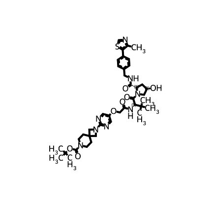 Cc1ncsc1-c1ccc(CNC(=O)[C@@H]2C[C@@H](O)CN2C(=O)[C@@H](NC(=O)COc2cnc(N3CC4(CCN(C(=O)OC(C)(C)C)CC4)C3)nc2)C(C)(C)C)cc1